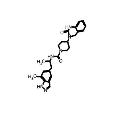 Cc1cc(CC(C)NC(=O)N2CCC(N3Cc4ccccc4NC3=O)CC2)cc2cn[nH]c12